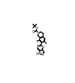 Cc1c2c(cc(F)c1-c1ncc3[nH]ncc3n1)CCN(C(=O)OC(C)(C)C)C2